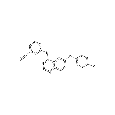 C#Cc1cccc(Nc2ncnc3ccc(Oc4ccc(Cl)cc4C)cc23)c1